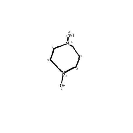 ON1CCN(O)CC1